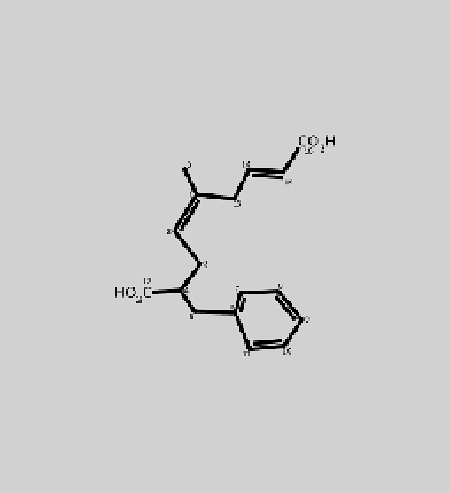 CC(=CCC(Cc1ccccc1)C(=O)O)CC=CC(=O)O